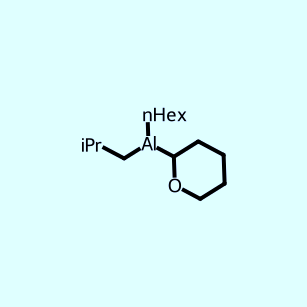 CCCCC[CH2][Al]([CH2]C(C)C)[CH]1CCCCO1